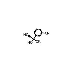 C#CC(O)(c1cccc(C#N)c1)C(F)(F)F